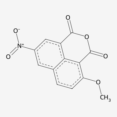 COc1ccc2cc([N+](=O)[O-])cc3c2c1C(=O)OC3=O